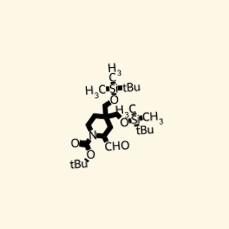 CC(C)(C)OC(=O)N1CCC(CO[Si](C)(C)C(C)(C)C)(CO[Si](C)(C)C(C)(C)C)CC1C=O